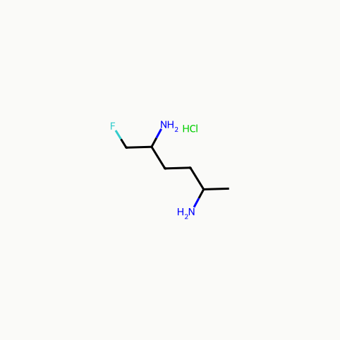 CC(N)CCC(N)CF.Cl